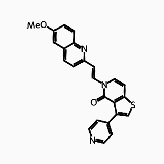 COc1ccc2nc(/C=C/n3ccc4scc(-c5ccncc5)c4c3=O)ccc2c1